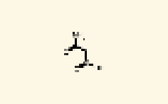 NC(=O)CS(=O)O